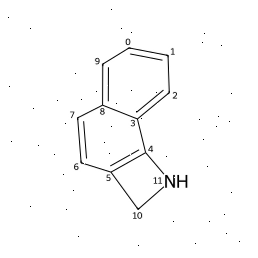 c1ccc2c3c(ccc2c1)CN3